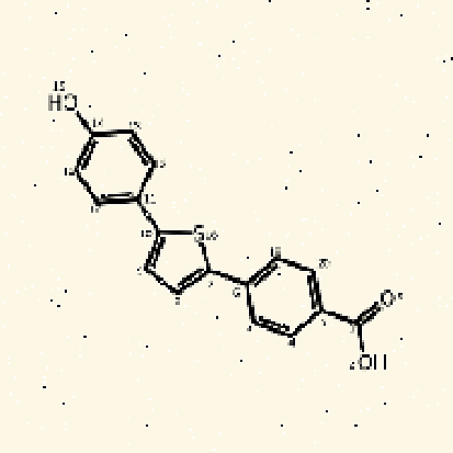 O=C(O)c1ccc(-c2ccc(-c3ccc(O)cc3)s2)cc1